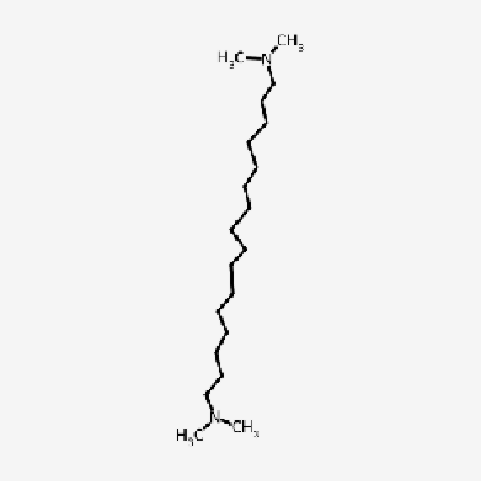 CN(C)CCCCCCCCCCCCCCCCN(C)C